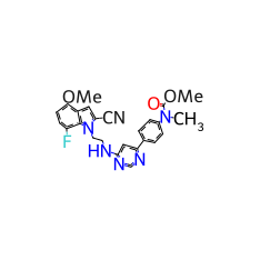 COC(=O)N(C)c1ccc(-c2cc(NCCn3c(C#N)cc4c(OC)ccc(F)c43)ncn2)cc1